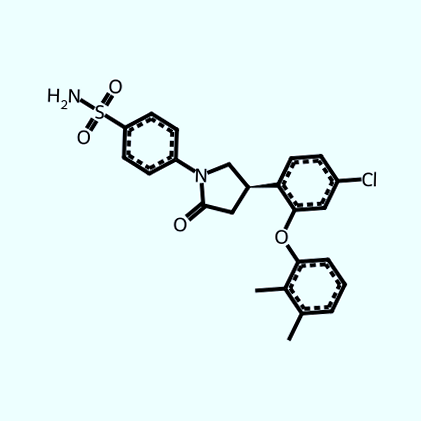 Cc1cccc(Oc2cc(Cl)ccc2[C@H]2CC(=O)N(c3ccc(S(N)(=O)=O)cc3)C2)c1C